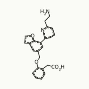 NCCc1cccc(-c2cc(COc3ccccc3CC(=O)O)cc3ccoc23)n1